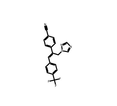 N#Cc1ccc(C(=Cc2ccc(C(F)(F)F)cc2)Cn2cncn2)cc1